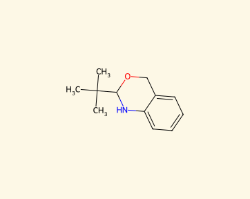 CC(C)(C)C1Nc2ccccc2CO1